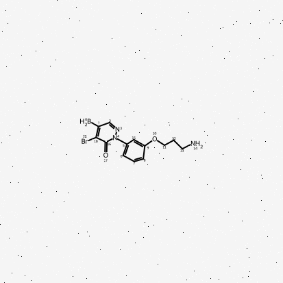 Bc1cnn(-c2cccc(OCCCN)c2)c(=O)c1Br